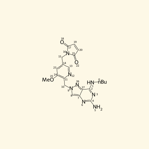 CCCCNc1nc(N)nc2cn(Cc3ncc(CN4C(=O)C=CC4=O)cc3OC)nc12